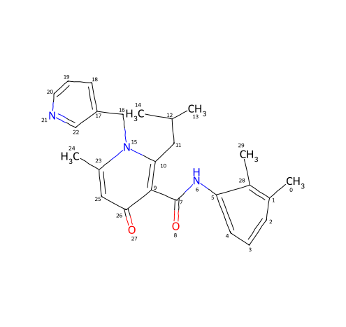 Cc1cccc(NC(=O)c2c(CC(C)C)n(Cc3cccnc3)c(C)cc2=O)c1C